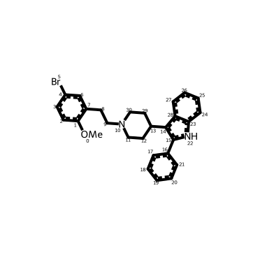 COc1ccc(Br)cc1CCN1CCC(c2c(-c3ccccc3)[nH]c3ccccc23)CC1